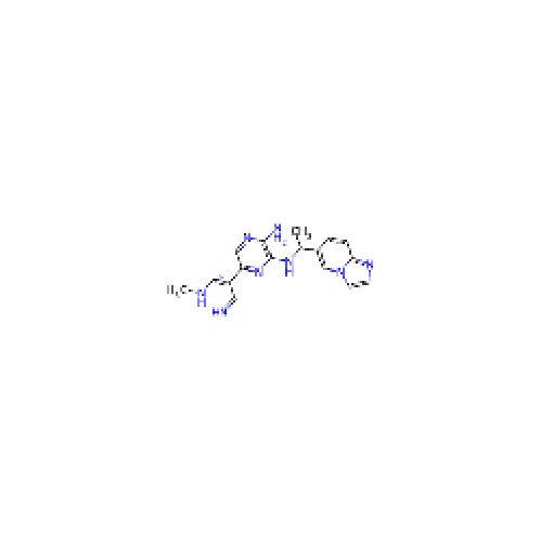 CN/C=C(\C=N)c1cnc(N)c(NC(C)c2ccc3nccn3c2)n1